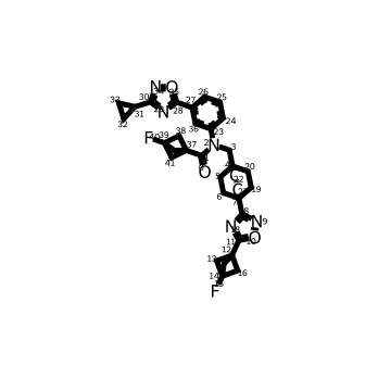 O=C(N(CC12CCC(c3noc(C45CC(F)(C4)C5)n3)(CC1)CC2)c1cccc(-c2nc(C3CC3)no2)c1)C12CC(F)(C1)C2